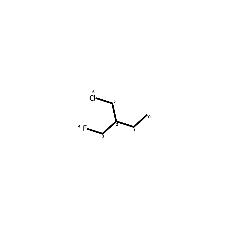 CCC(CF)CCl